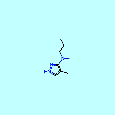 CCCN(C)c1n[nH]cc1C